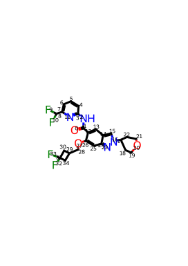 O=C(Nc1cccc(C(F)F)n1)c1cc2cn(C3CCOCC3)nc2cc1OCC1CC(F)(F)C1